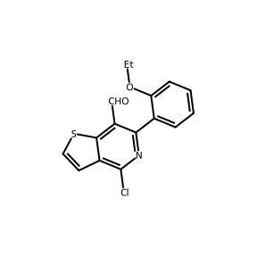 CCOc1ccccc1-c1nc(Cl)c2ccsc2c1C=O